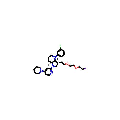 Fc1cccc(N2CCC[C@H]3[C@@H]2[C@@H](CCOCCOCCI)CN3c2cc(N3CCCCC3)ccn2)c1